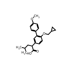 COc1ccc(-c2cc(C(CC(C)C)C(=O)O)ccc2OCC2CC2)cc1